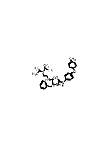 Cc1ccc(Oc2ccc(NC(=S)N[C@@H](Cc3ccccc3)C(=O)NCCN(C(C)C)C(C)C)cc2)cc1